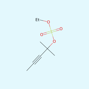 CC#CC(C)(C)OS(=O)(=O)OCC